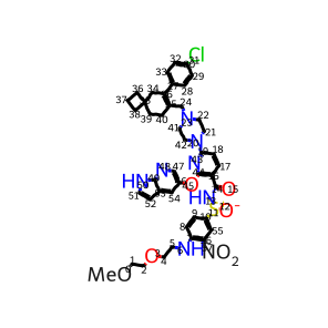 COCCOCCNc1ccc([S+]([O-])NC(=O)c2ccc(N3CCN(CC4=C(c5ccc(Cl)cc5)CC5(CCC5)CC4)CC3)nc2Oc2cnc3[nH]ccc3c2)cc1[N+](=O)[O-]